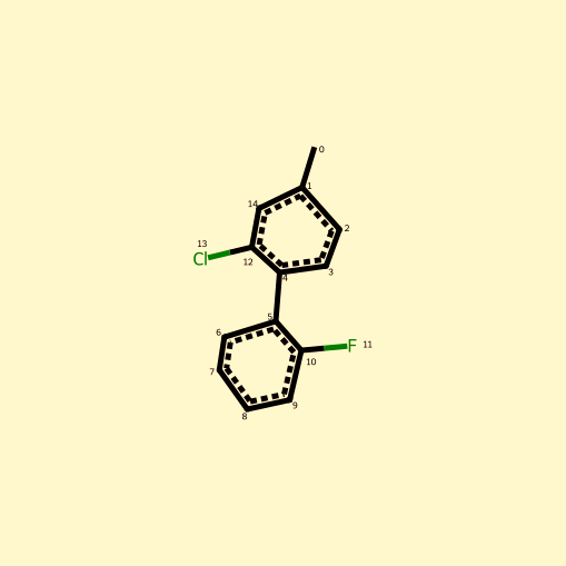 Cc1ccc(-c2ccccc2F)c(Cl)c1